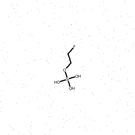 O[Si](O)(O)OCCF